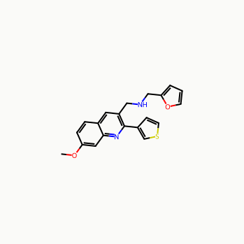 COc1ccc2cc(CNCc3ccco3)c(-c3ccsc3)nc2c1